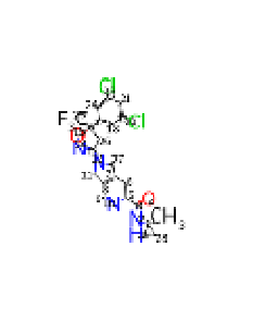 CC1(NC(=O)c2cc3c(cn2)CN(C2=NOC(c4cc(Cl)cc(Cl)c4)(C(F)(F)F)C2)C3)CC1